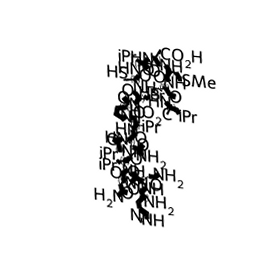 CSCC[C@H](NC(=O)[C@H](CC(=O)O)NC(=O)[C@@H](NC(=O)[C@H](CS)NC(=O)[C@H](CC(C)C)NC(=O)[C@@H]1CCCN1C(=O)[C@@H](NC(=O)[C@H](CC(N)=O)NC(=O)[C@@H](NC(=O)[C@H](CC(C)C)NC(=O)[C@H](CC(N)=O)NC(=O)[C@H](CC(N)=O)NC(=O)[C@@H](N)Cc1c[nH]cn1)C(C)C)C(C)C)C(C)C)C(=O)N[C@@H](CS)C(=O)N[C@@H](CC(C)C)C(=O)O